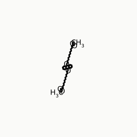 COC(=O)CCCCCCCCCCCCOc1c2ccccc2c(OCCCCCCCCCCCCC(=O)OC)c2ccccc12